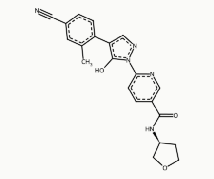 Cc1cc(C#N)ccc1-c1cnn(-c2ccc(C(=O)N[C@H]3CCOC3)cn2)c1O